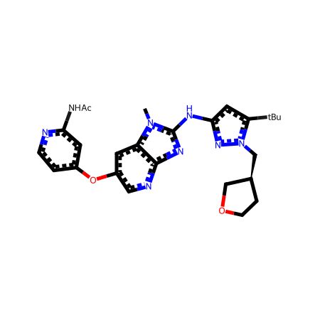 CC(=O)Nc1cc(Oc2cnc3nc(Nc4cc(C(C)(C)C)n(C[C@H]5CCOC5)n4)n(C)c3c2)ccn1